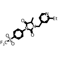 CCc1cc(CN2C(=O)N(c3ccc(S(=O)(=O)C(F)(F)F)cc3)C(=O)C2C)ccn1